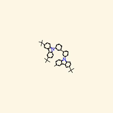 Cc1ccc2c(c1)c1cc(C(C)(C)C)ccc1n2-c1cccc(-c2cccc(-n3c4ccc(C(C)(C)C)cc4c4cc(C(C)(C)C)ccc43)c2)c1